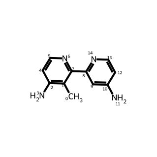 Cc1c(N)ccnc1-c1cc(N)ccn1